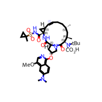 COc1cnc(O[C@@H]2C[C@H]3C(=O)N[C@]4(C(=O)NS(=O)(=O)C5(C)CC5)C[C@H]4/C=C\CC[C@H](C)C[C@@H](C)[C@H](N(C(=O)O)C(C)(C)C)C(=O)N3C2)c2ccc(N(C)C)cc12